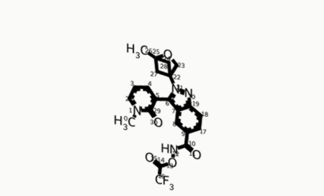 Cn1cccc(-c2c3cc(C(=O)NOC(=O)C(F)(F)F)ccc3nn2C23COC(C)(C2)C3)c1=O